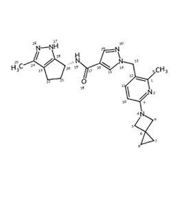 Cc1nc(N2CC3(CC3)C2)ccc1Cn1cc(C(=O)N[C@@H]2CCc3c(C)n[nH]c32)cn1